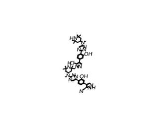 CN(c1cnc(-c2ccc(-c3cnn(CC4(C)CC(N(C)c5ncc(-c6ccc(-c7cn[nH]c7C#N)cc6O)nn5)CC(C)(C)N4)c3Cl)cc2O)nn1)C1CC(C)(C)NC(C)(C)C1